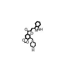 O=C1C(=Cc2n[nH]c3ccccc23)Oc2c1cc1c(c2CN2CCNCC2)OCO1